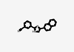 N#Cc1cccc(-c2nc(-c3ccc4ccccc4c3)c[nH]2)c1